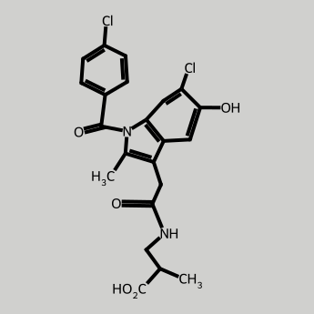 Cc1c(CC(=O)NCC(C)C(=O)O)c2cc(O)c(Cl)cc2n1C(=O)c1ccc(Cl)cc1